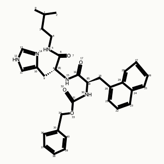 CC(C)C[CH]NC(=O)[C@@H](Cc1c[nH]cn1)NC(=O)[C@@H](Cc1cccc2ccccc12)NC(=O)OCc1ccccc1